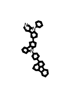 c1ccc(-n2c3ccc(-c4ccc5c(c4)c4ccccc4n5-c4ccc(-c5ccc6c7c(cccc57)-c5ccccc5-6)cc4)cc3c3ccncc32)cc1